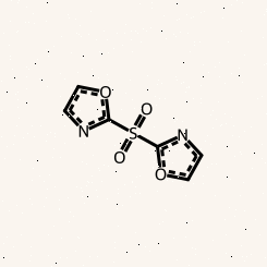 O=S(=O)(c1ncco1)c1ncco1